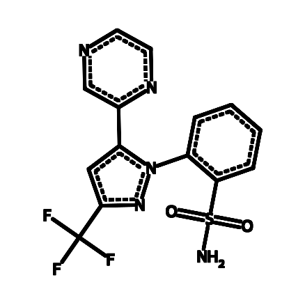 NS(=O)(=O)c1ccccc1-n1nc(C(F)(F)F)cc1-c1cnccn1